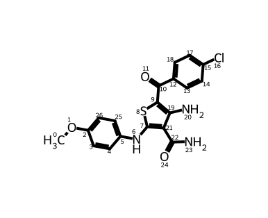 COc1ccc(Nc2sc(C(=O)c3ccc(Cl)cc3)c(N)c2C(N)=O)cc1